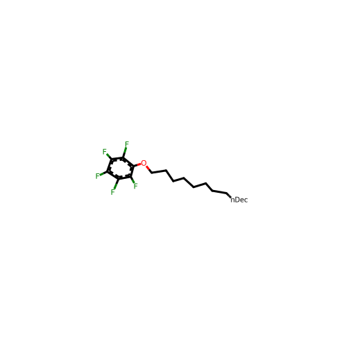 CCCCCCCCCCCCCCCCCCOc1c(F)c(F)c(F)c(F)c1F